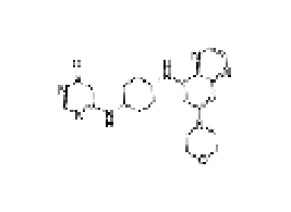 O=C1CC(N[C@H]2CC[C@@H](Nc3cc(N4CCOCC4)cc4nccnc34)CC2)=NC=N1